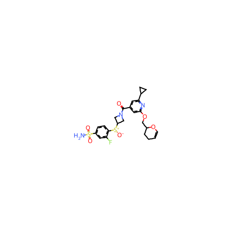 NS(=O)(=O)c1ccc([S+]([O-])C2CN(C(=O)c3cc(OCC4CCC=CO4)nc(C4CC4)c3)C2)c(F)c1